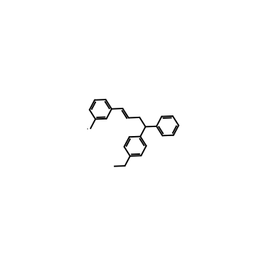 [CH2]c1cccc(C=CCC(c2ccccc2)c2ccc(CC)cc2)c1